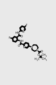 CC(C)(C)OC(=O)N1CCCN(c2ccc(C(=O)Nc3ccc(F)cc3C(=O)Nc3ccc(F)cn3)nc2)CC1